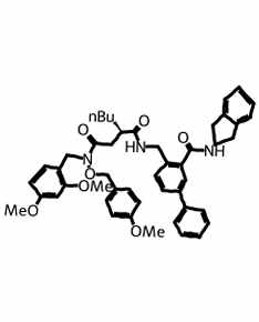 CCCC[C@H](CC(=O)N(Cc1ccc(OC)cc1OC)OCc1ccc(OC)cc1)C(=O)NCc1ccc(-c2ccccc2)cc1C(=O)NC1Cc2ccccc2C1